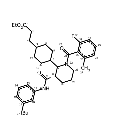 CCOC(=O)CCC1CCC(C2[C@@H](C(=O)Nc3cccc(C(C)(C)C)c3)CCCN2C(=O)c2c(C)cccc2F)CC1